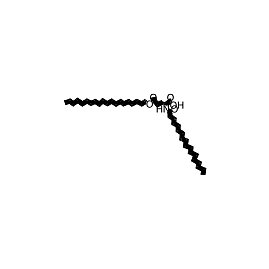 CCCCCCCCCCCCCCCCCCCCOC(=O)CC[C@H](NC(=O)CCCCCCCCCCCCCCCCC)C(=O)O